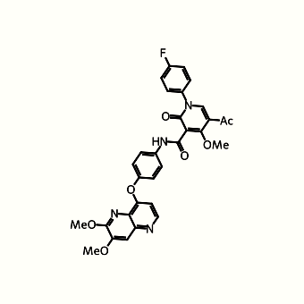 COc1cc2nccc(Oc3ccc(NC(=O)c4c(OC)c(C(C)=O)cn(-c5ccc(F)cc5)c4=O)cc3)c2nc1OC